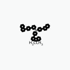 CC1(C)c2ccccc2-c2c(-c3ccc(N(c4ccc(-c5ccc6ccccc6c5)cc4)c4cccc(-c5ccc(-c6cccc7ccccc67)cc5)c4)cc3)cccc21